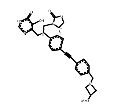 COC1CN(Cc2ccc(C#Cc3ccc([C@@H](Cc4nc[nH]c(=O)c4O)CN4C(=O)OC[C@@H]4C)cc3)cc2)C1